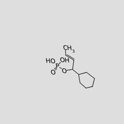 CC=CC(OP(=O)(O)O)C1CCCCC1